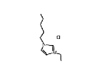 CCCCCn1cc[n+](CC)c1.[Cl-]